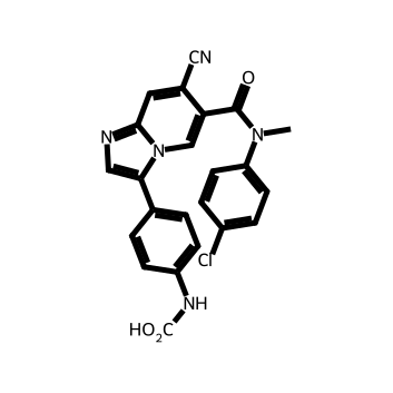 CN(C(=O)c1cn2c(-c3ccc(NC(=O)O)cc3)cnc2cc1C#N)c1ccc(Cl)cc1